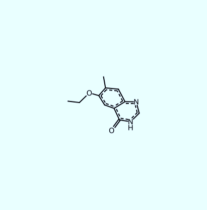 CCOc1cc2c(=O)[nH]cnc2cc1C